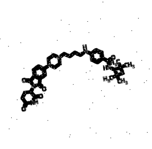 CC1(C)CC(C)(C)C1NC(=O)c1ccc(NCCCCN2CCN(c3ccc4c(c3)C(=O)N(C3CCC(=O)NC3=O)C4=O)CC2)cc1